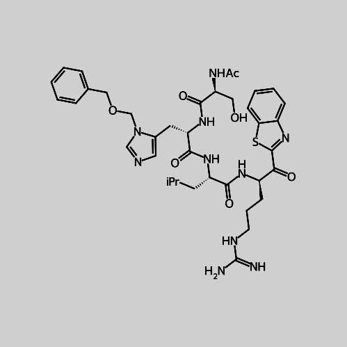 CC(=O)N[C@@H](CO)C(=O)N[C@@H](Cc1cncn1COCc1ccccc1)C(=O)N[C@@H](CC(C)C)C(=O)N[C@H](CCCNC(=N)N)C(=O)c1nc2ccccc2s1